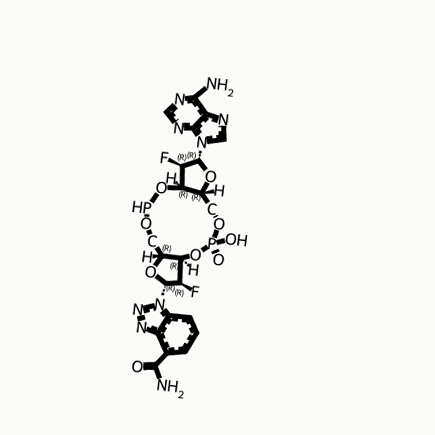 NC(=O)c1cccc2c1nnn2[C@@H]1O[C@@H]2COPO[C@H]3[C@@H](F)[C@H](n4cnc5c(N)ncnc54)O[C@@H]3COP(=O)(O)O[C@H]2[C@H]1F